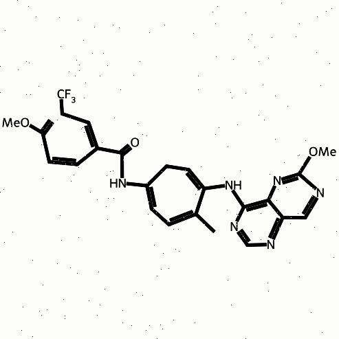 C=C(/C=C\C(=C/CC(F)(F)F)C(=O)NC1=CC=C(C)C(Nc2ncnc3cnc(OC)nc23)=CC1)OC